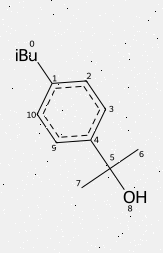 CCC(C)c1ccc(C(C)(C)O)cc1